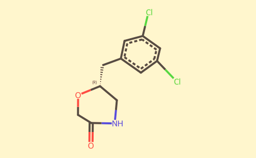 O=C1CO[C@H](Cc2cc(Cl)cc(Cl)c2)CN1